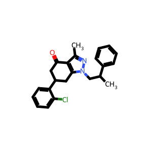 Cc1nn(CC(C)c2ccccc2)c2c1C(=O)CC(c1ccccc1Cl)C2